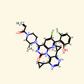 C=CC(=O)N1CCN(c2nc(=O)n(-c3c(C4CC4)ncnc3C3CC3)c3nc(-c4c(O)cccc4F)c(F)cc23)[C@@H](C)C1